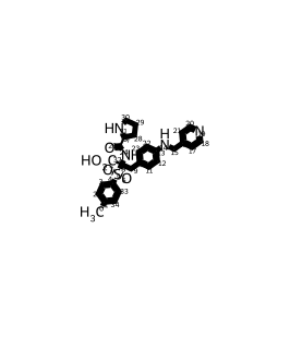 Cc1ccc(S(=O)(=O)[C@@](Cc2ccc(NCc3ccncc3)cc2)(NC(=O)[C@@H]2CCCN2)C(=O)O)cc1